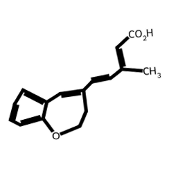 CC(C=CC1=Cc2ccccc2OCC1)=CC(=O)O